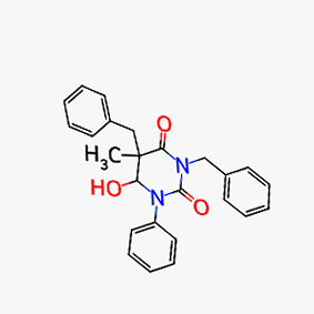 CC1(Cc2ccccc2)C(=O)N(Cc2ccccc2)C(=O)N(c2ccccc2)C1O